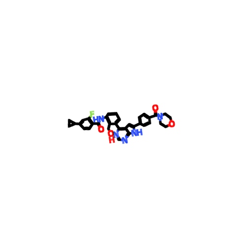 O=C(Nc1cccc(-c2ncnc3[nH]c(-c4ccc(C(=O)N5CCOCC5)cc4)cc23)c1CO)c1ccc(C2CC2)cc1F